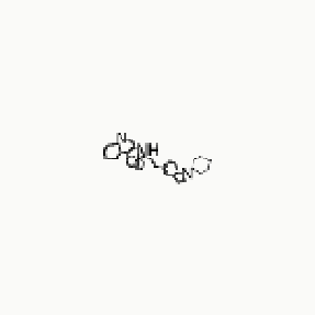 O=C(C=Cc1ccc2c(ccn2C2CCCCC2)c1)Nc1cnc2ccccc2c1Cl